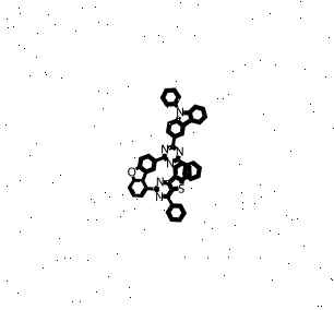 C1=CC2Oc3ccc(-c4nc(-c5ccccc5)nc(-c5ccc6c(c5)c5ccccc5n6-c5ccccc5)n4)cc3C2C(c2nc(-c3ccccc3)c3sc4ccccc4c3n2)=C1